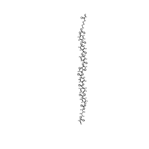 C=CC(=O)CCCCCOC(=O)Oc1ccc(C(=O)Oc2ccc(C(=O)Oc3ccc(C(=O)O[C@H]4COC5C4OC[C@@H]5OC(=O)c4ccc(OC(=O)c5ccc(OC(=O)c6ccc(OC(=O)OCCCCOC(=O)C=C)cc6)cc5)cc4)cc3)cc2)cc1